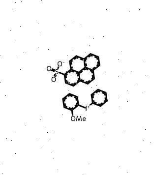 COc1ccccc1[I+]c1ccccc1.O=S(=O)([O-])c1ccc2ccc3cccc4ccc1c2c34